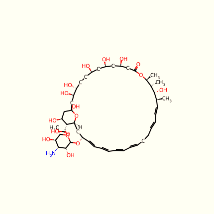 C[C@@H]1[C@H](O)[C@@H](C)/C=C/C=C/CC/C=C/C=C/C=C/C=C/[C@H](OC2O[C@@H](C)[C@H](O)[C@@H](N)[C@H]2O)C[C@@H]2O[C@](O)(C[C@@H](O)[C@H](O)CC[C@@H](O)C[C@@H](O)C[C@@H](O)CC(=O)O[C@H]1C)C[C@H](O)[C@H]2C(=O)O